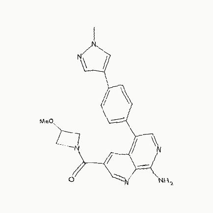 COC1CN(C(=O)c2cnc3c(N)ncc(-c4ccc(-c5cnn(C)c5)cc4)c3c2)C1